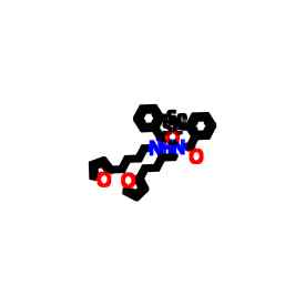 O=C(NCCCCc1ccco1)c1ccccc1[Se][Se]c1ccccc1C(=O)NCCCCc1ccco1